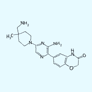 CC1(CN)CCN(c2cnc(-c3ccc4c(c3)NC(=O)CO4)c(N)n2)CC1